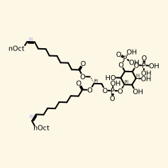 CCCCCCCC/C=C\CCCCCCCC(=O)OC[C@H](COP(=O)(O)O[C@H]1C(O)C(OP(=O)(O)O)C(OP(=O)(O)O)[C@@H](O)C1O)OC(=O)CCCCCCC/C=C\CCCCCCCC